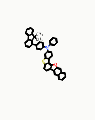 CC1(C)c2ccccc2-c2cccc(-c3ccc(N(c4ccccc4)c4ccc5c(c4)sc4ccc6c7cc8ccccc8cc7oc6c45)cc3)c21